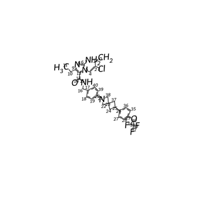 C=C/C(Cl)=C\n1c(N)nc(CC)c1C(=O)NCc1ccc(N2CC3(CC(c4ccc(OC(F)(F)F)cc4)C3)C2)cc1